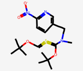 CN(Cc1ccc([N+](=O)[O-])nc1)C(OC(C)(C)C)=S=COC(C)(C)C